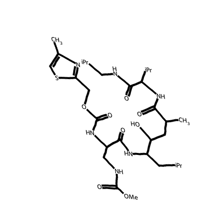 COC(=O)NCC(NC(=O)OCc1nc(C)cs1)C(=O)NC(CC(C)C)C(O)CC(C)C(=O)NC(C(=O)NCC(C)C)C(C)C